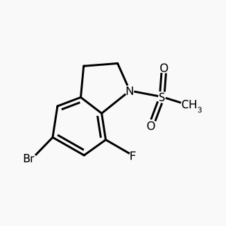 CS(=O)(=O)N1CCc2cc(Br)cc(F)c21